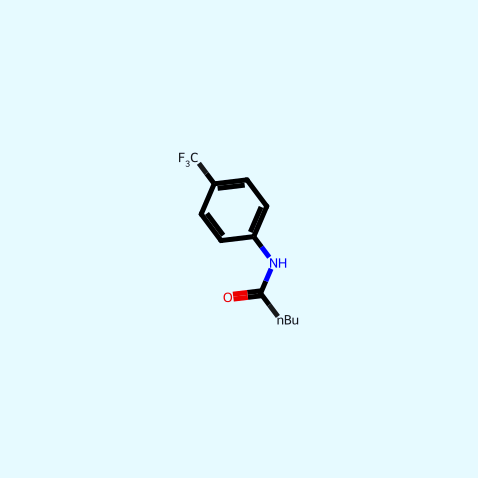 CCCCC(=O)Nc1ccc(C(F)(F)F)cc1